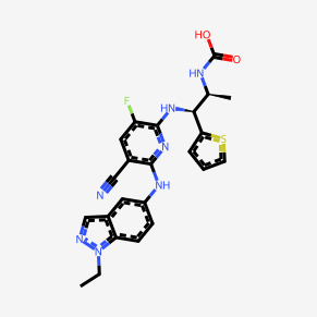 CCn1ncc2cc(Nc3nc(N[C@H](c4cccs4)[C@H](C)NC(=O)O)c(F)cc3C#N)ccc21